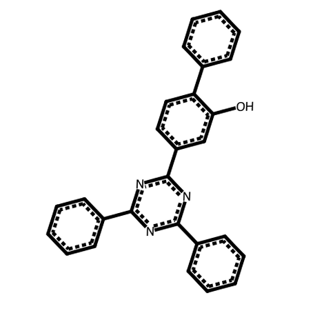 Oc1cc(-c2nc(-c3ccccc3)nc(-c3ccccc3)n2)ccc1-c1ccccc1